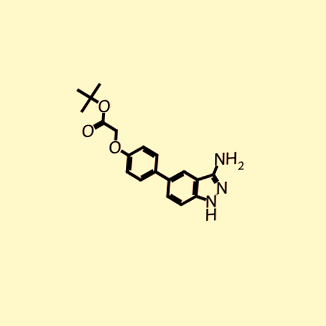 CC(C)(C)OC(=O)COc1ccc(-c2ccc3[nH]nc(N)c3c2)cc1